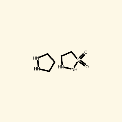 C1CNNC1.O=S1(=O)CCNN1